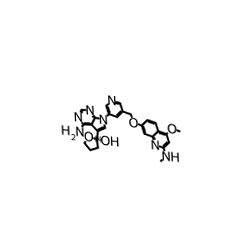 CNc1cc(OC)c2ccc(OCc3cncc(-n4cc([C@@]5(O)CCCO5)c5c(N)ncnc54)c3)cc2n1